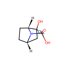 C[C@@]1(O)C[C@@H]2CC[C@H]1N2C(=O)O